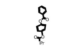 CC(C)C(=O)Oc1ccc(OC(=O)c2ccccc2)cc1